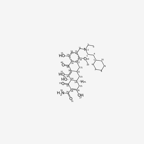 CCN(CCC1CCCCC1)Cc1cc(O)c2c(c1OC)CC1C[C@H]3CC(O)=C(C(N)=O)C(=O)[C@@]3(O)C(O)=C1C2=O